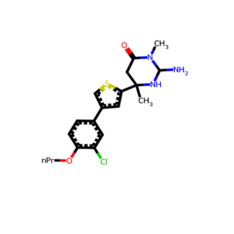 CCCOc1ccc(-c2csc(C3(C)CC(=O)N(C)C(N)N3)c2)cc1Cl